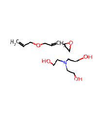 C1CO1.C=CCOCC=C.OCCN(CCO)CCO